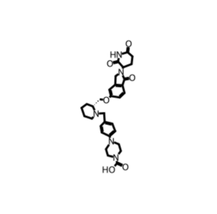 O=C1CCC(N2Cc3cc(OC[C@H]4CCCCN4Cc4ccc(N5CCN(C(=O)O)CC5)cc4)ccc3C2=O)C(=O)N1